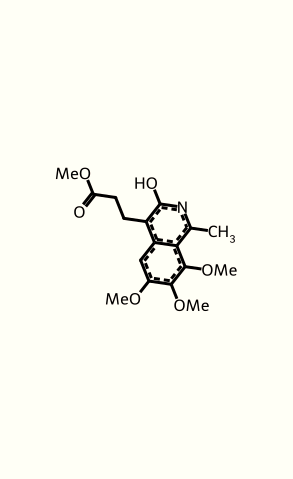 COC(=O)CCc1c(O)nc(C)c2c(OC)c(OC)c(OC)cc12